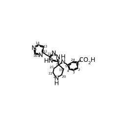 O=C(O)c1cccc(NC2(c3nnc(-c4ccncn4)[nH]3)CCNCC2)c1